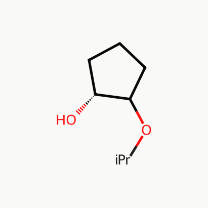 CC(C)OC1CCC[C@H]1O